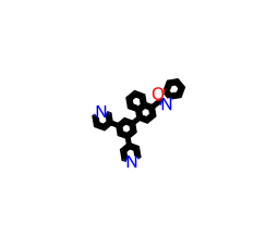 c1cncc(-c2cc(-c3ccncc3)cc(-c3ccc(-c4nc5ccccc5o4)c4ccccc34)c2)c1